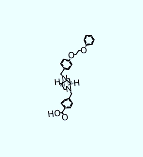 O=C(O)c1ccc(CN2C[C@@H]3C[C@H]2CN3Cc2ccc(OCCOc3ccccc3)cc2)cc1